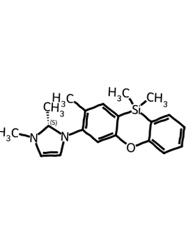 Cc1cc2c(cc1N1C=CN(C)[C@@H]1C)Oc1ccccc1[Si]2(C)C